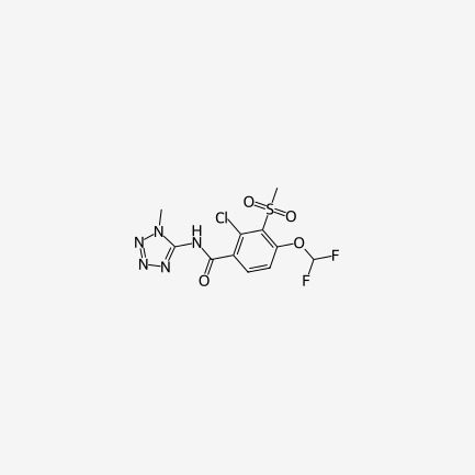 Cn1nnnc1NC(=O)c1ccc(OC(F)F)c(S(C)(=O)=O)c1Cl